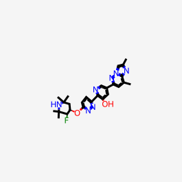 Cc1cn2nc(-c3cnc(-c4ccc(O[C@@H]5CC(C)(C)NC(C)(C)[C@@H]5F)nn4)c(O)c3)cc(C)c2n1